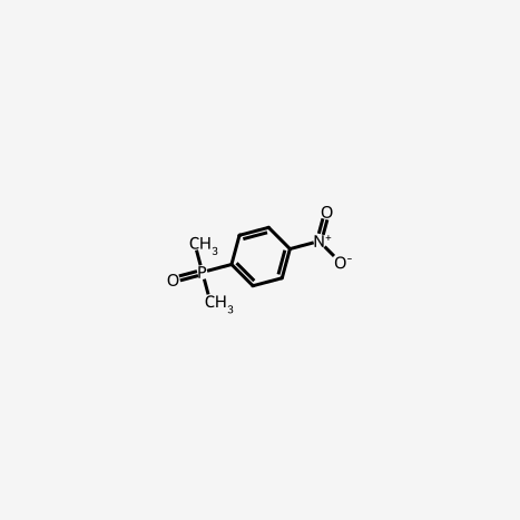 CP(C)(=O)c1ccc([N+](=O)[O-])cc1